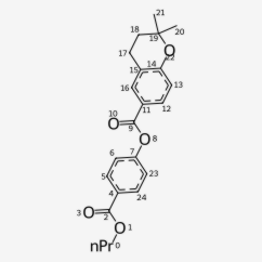 CCCOC(=O)c1ccc(OC(=O)c2ccc3c(c2)CCC(C)(C)O3)cc1